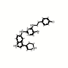 Clc1ccc(CCNc2nc(Nc3ccc4[nH]cc(C5=CCNCC5)c4c3)ncc2Br)cc1